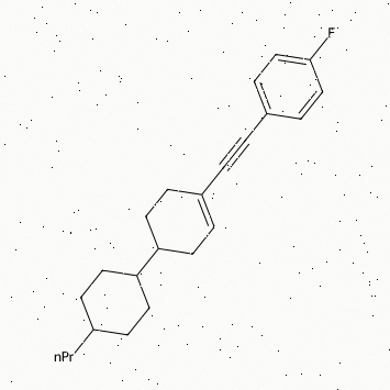 CCCC1CCC(C2CC=C(C#Cc3ccc(F)cc3)CC2)CC1